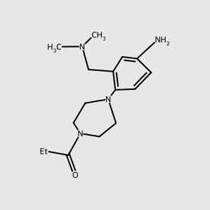 CCC(=O)N1CCN(c2ccc(N)cc2CN(C)C)CC1